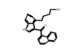 O=C(c1cccc2ccccc12)c1c[nH]c2cccc(CCCCO)c12